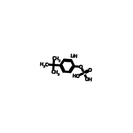 CC(C)(C)c1ccc(OP(=O)(O)O)cc1.[LiH]